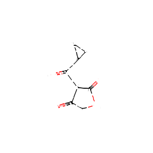 O=C1COC(=O)C1C(=O)C1CC1